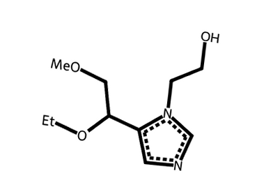 CCOC(COC)c1cncn1CCO